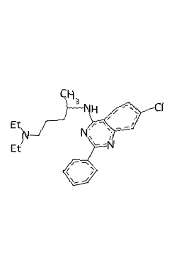 CCN(CC)CCCC(C)Nc1nc(-c2ccccc2)nc2cc(Cl)ccc12